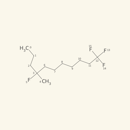 CCCC(C)(F)CCCCCCC(F)(F)F